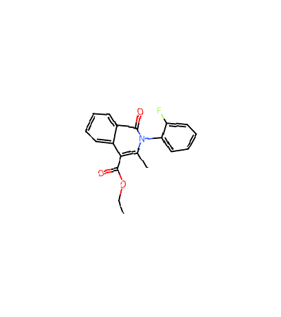 CCOC(=O)c1c(C)n(-c2ccccc2F)c(=O)c2ccccc12